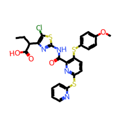 CCC(C(=O)O)c1nc(NC(=O)c2nc(Sc3ccccn3)ccc2Sc2ccc(OC)cc2)sc1Cl